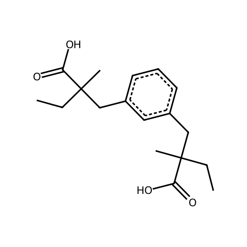 CCC(C)(Cc1cccc(CC(C)(CC)C(=O)O)c1)C(=O)O